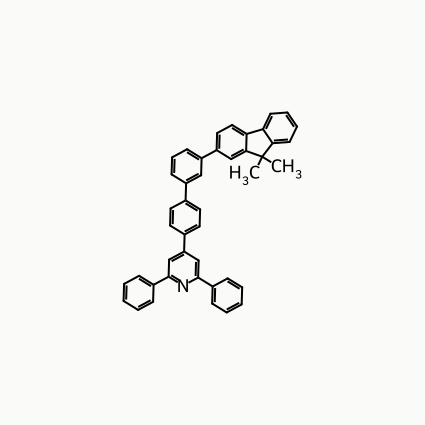 CC1(C)c2ccccc2-c2ccc(-c3cccc(-c4ccc(-c5cc(-c6ccccc6)nc(-c6ccccc6)c5)cc4)c3)cc21